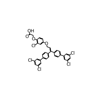 O=C(O)COc1ccc(OCC=C(c2ccc(-c3cc(Cl)cc(Cl)c3)cc2)c2ccc(-c3cc(Cl)cc(Cl)c3)cc2)cc1Cl